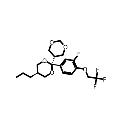 CCC[C@H]1CO[C@](c2ccc(OCC(F)(F)F)c(F)c2)(C2COCOC2)OC1